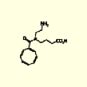 NCCN(CCCC(=O)O)C(=O)C1=CC=CC=CC=C1